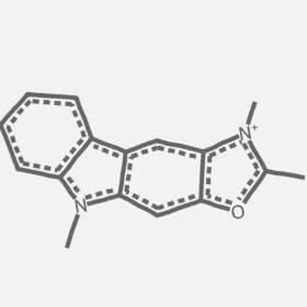 Cc1oc2cc3c(cc2[n+]1C)c1ccccc1n3C